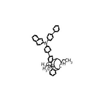 CC[C@H]1CC2C[C@@H](C)CC(C1)c1cc(-c3ccc(N(c4ccc(-c5ccccc5)cc4)c4ccc5ccccc5c4)cc3)ccc1C(C)(C)c1ccccc12